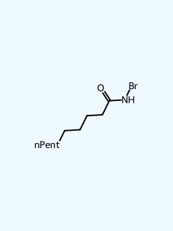 CCCCCCCCCC(=O)NBr